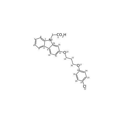 O=C(O)Cn1c2ccccc2c2ccc(OCCCOc3ccc(Cl)cc3)cc21